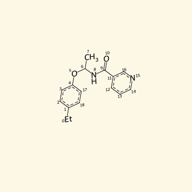 CCc1ccc(OC(C)NC(=O)c2cccnc2)cc1